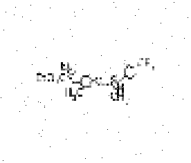 CCOC(=O)C(Cc1ccc(OCc2sc(-c3ccc(C(F)(F)F)cc3)nc2C)cc1C)OCC